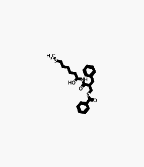 CSCCCCCC(O)NC(=O)C(CSC(=O)c1ccccc1)Cc1ccccc1